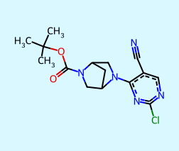 CC(C)(C)OC(=O)N1CC2CC1CN2c1nc(Cl)ncc1C#N